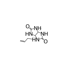 C=CCC[C@]12NC(=O)N[C@@]1(C)NC(=O)N2